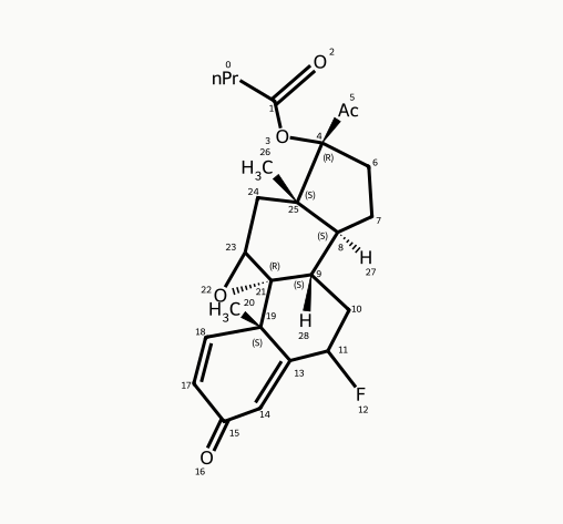 CCCC(=O)O[C@]1(C(C)=O)CC[C@H]2[C@@H]3CC(F)C4=CC(=O)C=C[C@]4(C)[C@]34OC4C[C@@]21C